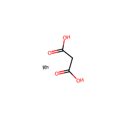 O=C(O)CC(=O)O.[Rh]